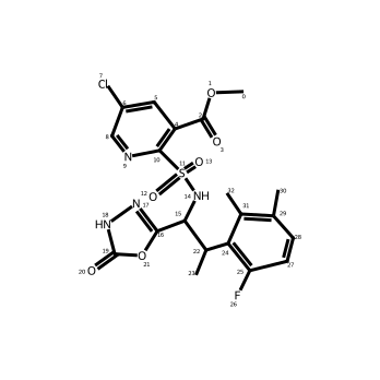 COC(=O)c1cc(Cl)cnc1S(=O)(=O)NC(c1n[nH]c(=O)o1)C(C)c1c(F)ccc(C)c1C